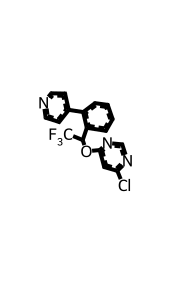 FC(F)(F)C(Oc1cc(Cl)ncn1)c1ccccc1-c1ccncc1